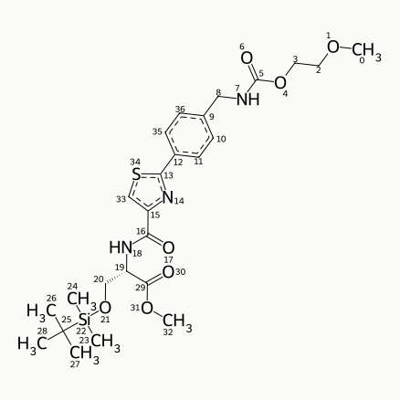 COCCOC(=O)NCc1ccc(-c2nc(C(=O)N[C@@H](CO[Si](C)(C)C(C)(C)C)C(=O)OC)cs2)cc1